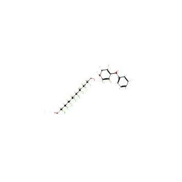 O=C(C1=C(F)C(F)C(F)(OCC(F)(F)C(F)(F)C(F)(F)C(F)(F)C(F)(F)C(F)(F)C(F)(F)C(F)(F)CO)C(F)=C1F)c1ccccc1